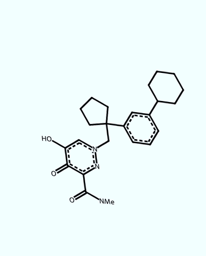 CNC(=O)c1nn(CC2(c3cccc(C4CCCCC4)c3)CCCC2)cc(O)c1=O